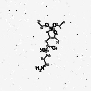 CCO[Si](CCCC(=O)NCCCN)(OCC)OCC